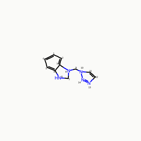 c1ccc2c(c1)NCN2Cn1ccnn1